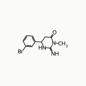 CN1C(=N)NC(c2cccc(Br)c2)CC1=O